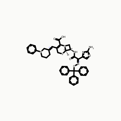 Nc1nc(/C(=N/OC(c2ccccc2)(c2ccccc2)c2ccccc2)C(=O)N[C@@H]2CN3C(C(=O)O)=C(/C=C4\CCCN(c5ccccc5)C4)CS[C@H]23)cs1